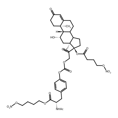 CC(=O)N[C@@H](Cc1ccc(OC(=O)OCC(=O)[C@@]2(OC(=O)CCCO[N+](=O)[O-])CCC3C4CCC5=CC(=O)CC[C@]5(C)[C@H]4[C@@H](O)C[C@@]32C)cc1)C(=O)OCCCCO[N+](=O)[O-]